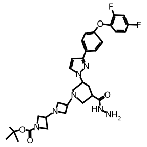 CC(C)(C)OC(=O)N1CC(N2CC(N3CC(C(=O)NN)CC(n4ccc(-c5ccc(Oc6ccc(F)cc6F)cc5)n4)C3)C2)C1